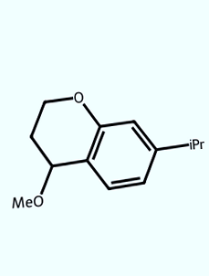 COC1CCOc2cc(C(C)C)ccc21